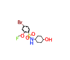 O=S(=O)(NC1CCC(O)CC1)c1ccc(Br)cc1OCF